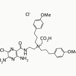 COc1ccc(CCC[N+](CCCc2ccc(OC)cc2)(CCNC(=O)c2nc(Cl)c(N)nc2N)CC(=O)O)cc1.[Cl-]